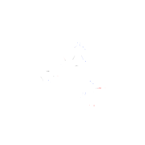 Cc1cc(C)c(CNC(=O)c2cc(C3CCN(C(=O)[C@@H](N)CO)CC3)nc3c2cnn3C(C)C)c(=O)[nH]1